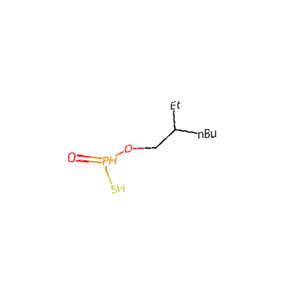 CCCCC(CC)CO[PH](=O)S